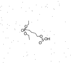 CCOP(=O)(CCCCOS(=O)O)OCC